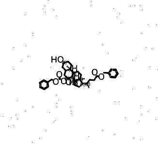 C[C@H](CCC(=O)OCc1ccccc1)[C@H]1CC[C@H]2[C@H]3[C@H](CC[C@]12C)[C@@]1(C)CC[C@H](O)CC1C[C@@]3(O)OC(=O)OCc1ccccc1